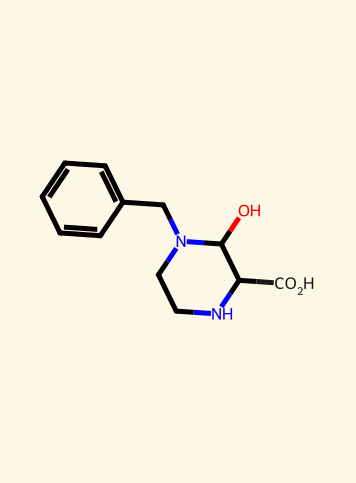 O=C(O)C1NCCN(Cc2ccccc2)C1O